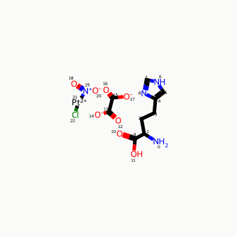 NC(CCc1c[nH]cn1)C(=O)O.O=C([O-])C(=O)[O-].O=[N+]([O-])[Pt+2][Cl]